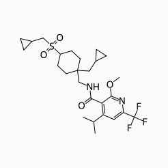 COc1nc(C(F)(F)F)cc(C(C)C)c1C(=O)NCC1(CC2CC2)CCC(S(=O)(=O)CC2CC2)CC1